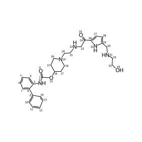 O=C(Nc1ccccc1-c1ccccc1)OC1CCN(CCNCC(=O)c2ccc(CNCCO)[nH]2)CC1